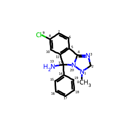 CN1CN=C2c3ccc(Cl)cc3C(N)(c3ccccc3)N21